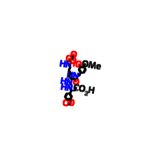 COc1ccc(CNC(=O)[C@H](CCCCNC2OC(=O)O2)NCN[C@@H](CC(=O)O)c2ccc3c(c2)OCO3)cc1O